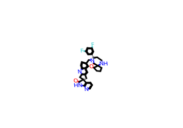 O=C1N(Cc2ccc3nc4c(cc3c2)C[C@@]2(C4)C(=O)Nc3ncccc32)[C@H](c2cc(F)cc(F)c2)CCNC12CCCC2